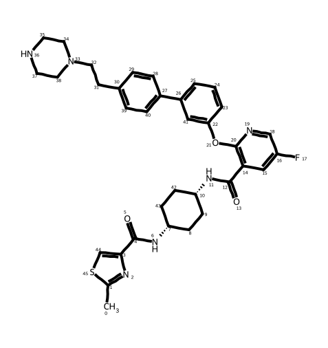 Cc1nc(C(=O)N[C@H]2CC[C@@H](NC(=O)c3cc(F)cnc3Oc3cccc(-c4ccc(CCN5CCNCC5)cc4)c3)CC2)cs1